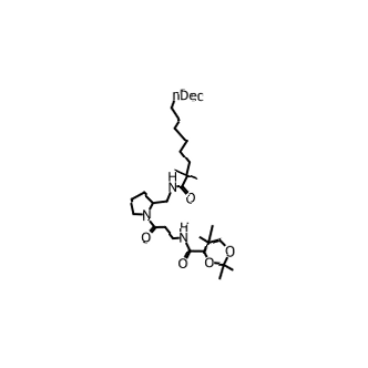 CCCCCCCCCCCCCCCCC(C)(C)C(=O)NCC1CCCN1C(=O)CCNC(=O)C1OC(C)(C)OCC1(C)C